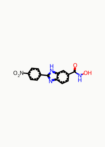 O=C(NO)c1ccc2nc(-c3ccc([N+](=O)[O-])cc3)[nH]c2c1